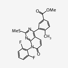 COC(=O)c1ccc(C)c(-c2nc(SC)nc3c2ccc(=O)n3-c2c(F)cccc2F)c1